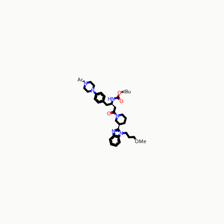 COCCCn1c([C@@H]2CCCN(C(=O)C[C@@H](Cc3ccc(N4CCN(C(C)=O)CC4)cc3)NC(=O)OC(C)(C)C)C2)nc2ccccc21